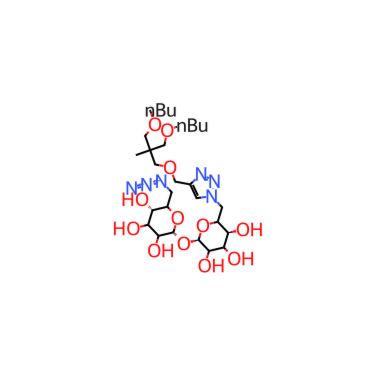 CCCCOCC(C)(COCCCC)COCc1cn(CC2O[C@H](O[C@H]3OC(CN=[N+]=[N-])[C@@H](O)C(O)C3O)C(O)C(O)[C@@H]2O)nn1